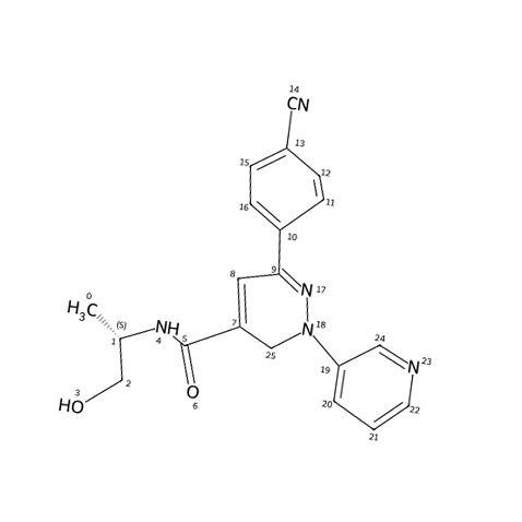 C[C@@H](CO)NC(=O)C1=CC(c2ccc(C#N)cc2)=NN(c2cccnc2)C1